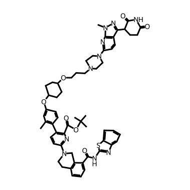 Cc1cc(OC2CCC(OCCCN3CCN(c4ccc5c(C6CCC(=O)NC6=O)nn(C)c5n4)CC3)CC2)ccc1-c1ccc(N2CCc3cccc(C(=O)Nc4nc5ccccc5s4)c3C2)nc1C(=O)OC(C)(C)C